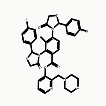 Cc1c(N2C(=O)CSC2c2ccc(F)cc2)ccc(C(=O)Oc2cccnc2CN2CCOCC2)c1N1C(=O)CSC1c1ccc(F)cc1